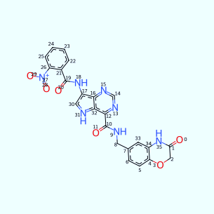 O=C1COc2ccc(CNC(=O)c3ncnc4c(NC(=O)c5ccccc5[N+](=O)[O-])c[nH]c34)cc2N1